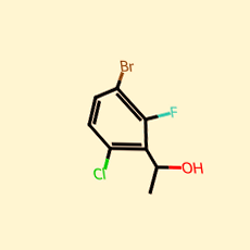 CC(O)c1c(Cl)ccc(Br)c1F